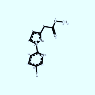 COC(=O)Cc1ccn(-c2ccc(F)cn2)n1